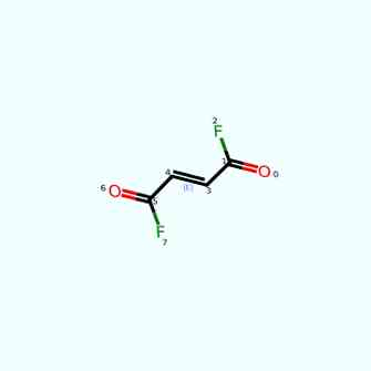 O=C(F)/C=C/C(=O)F